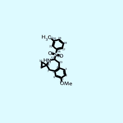 COc1ccc2c(c1)CC1(CC1)NC(S(=O)(=O)c1cccc(C)c1)C2